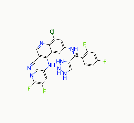 N#Cc1cnc2c(Cl)cc(N[C@H](C3=CNNN3)c3ccc(F)cc3F)cc2c1Nc1cnc(F)c(F)c1